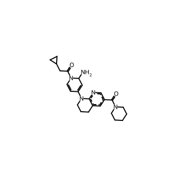 NC1C=C(N2CCCc3cc(C(=O)N4CCCCC4)cnc32)C=CN1C(=O)CC1CC1